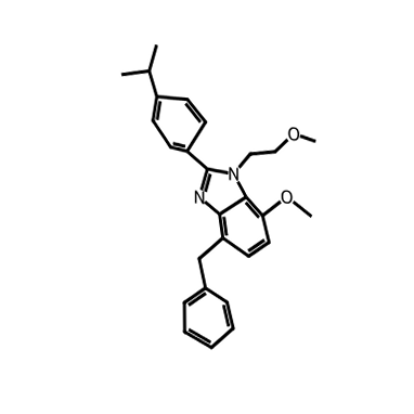 COCCn1c(-c2ccc(C(C)C)cc2)nc2c(Cc3ccccc3)ccc(OC)c21